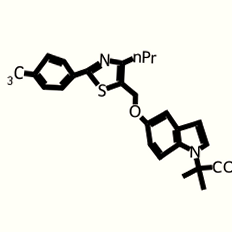 CCCc1nc(-c2ccc(C(F)(F)F)cc2)sc1COc1ccc2c(ccn2C(C)(C)C(=O)O)c1